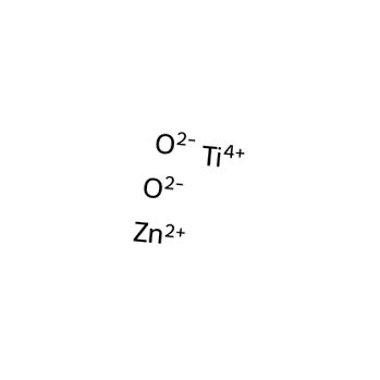 [O-2].[O-2].[Ti+4].[Zn+2]